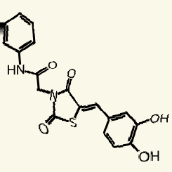 O=C(CN1C(=O)S/C(=C\c2ccc(O)c(O)c2)C1=O)Nc1ccccc1